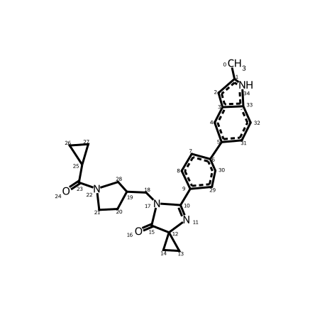 Cc1cc2cc(-c3ccc(C4=NC5(CC5)C(=O)N4CC4CCN(C(=O)C5CC5)C4)cc3)ccc2[nH]1